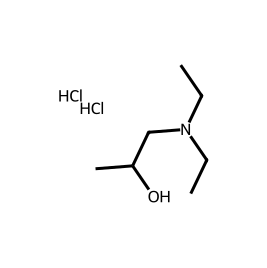 CCN(CC)CC(C)O.Cl.Cl